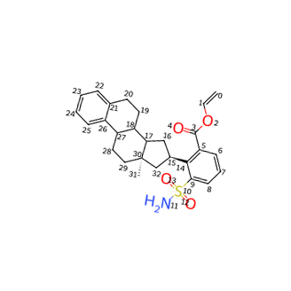 C=COC(=O)c1cccc(S(N)(=O)=O)c1[C@@H]1CC2C3CCc4ccccc4C3CC[C@]2(C)C1